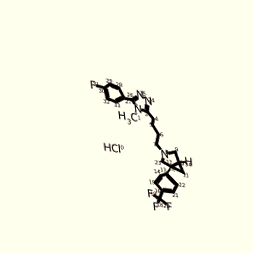 Cl.Cn1c(CCCCN2C[C@@H]3C[C@]3(c3ccc(C(F)(F)F)cc3)C2)nnc1-c1ccc(F)cc1